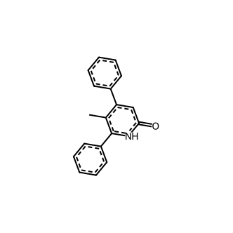 Cc1c(-c2ccccc2)cc(=O)[nH]c1-c1ccccc1